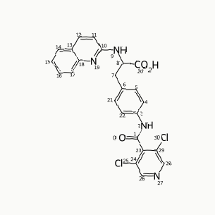 O=C(Nc1ccc(CC(Nc2ccc3ccccc3n2)C(=O)O)cc1)c1c(Cl)cncc1Cl